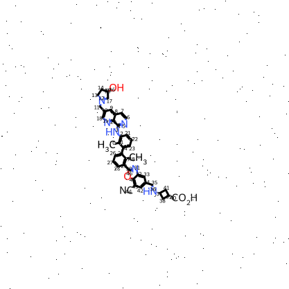 Cc1c(Nc2nccc3cc(CN4CC[C@@H](O)C4)cnc23)cccc1-c1cccc(-c2nc3cc(CN[C@H]4C[C@@H](C(=O)O)C4)cc(C#N)c3o2)c1C